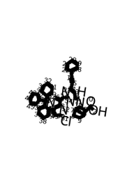 O=C(O)C1C2CCC(CC2)C1Nc1cc(C#Cc2ccccc2)nc(-c2cn(C(c3ccccc3)(c3ccccc3)c3ccccc3)c3ncc(Cl)nc23)n1